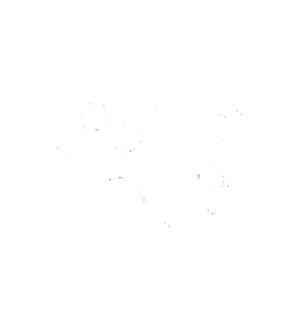 CCCCCC#CCN1CC[C@@H](Nc2ncc(C=CC(=O)NO)cc2F)C1.Cc1ccc(S(=O)(=O)O)cc1.Cc1ccc(S(=O)(=O)O)cc1